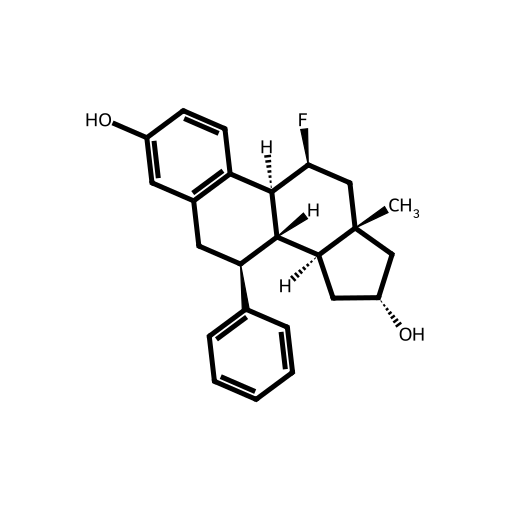 C[C@@]12C[C@H](O)C[C@H]1[C@H]1[C@@H](c3ccc(O)cc3C[C@@H]1c1ccccc1)[C@@H](F)C2